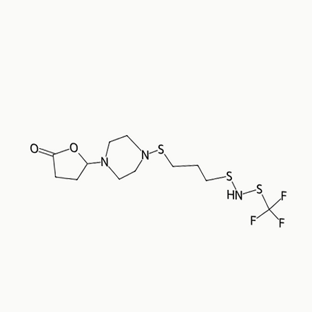 O=C1CCC(N2CCN(SCCCSNSC(F)(F)F)CC2)O1